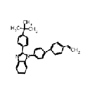 C=Cc1ccc(-c2ccc(-n3c(-c4ccc(C(C)(C)C)cc4)nc4ccccc43)cc2)cc1